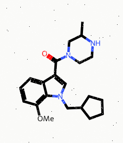 COc1cccc2c(C(=O)N3CCNC(C)C3)cn(CC3CCCC3)c12